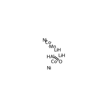 [Co].[Co].[LiH].[LiH].[Mn].[Ni].[Ni].[O]=[AlH]